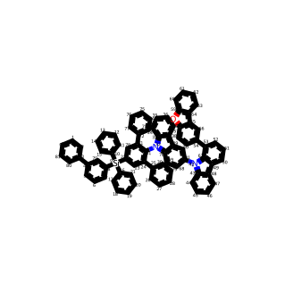 c1ccc(-c2cccc([Si](c3ccccc3)(c3ccccc3)c3cc(-c4ccccc4)c(-n4c5ccccc5c5cc(-n6c7ccccc7c7cccc(-c8ccc9oc%10ccccc%10c9c8)c76)ccc54)c(-c4ccccc4)c3)c2)cc1